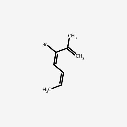 C=C(C)/C(Br)=C\C=C/C